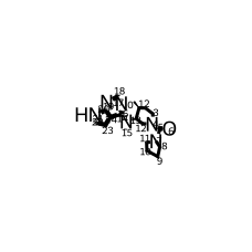 C[C@H]1CCN(C(=O)N2CCCC2)C[C@H]1N(C)c1ncnc2[nH]ccc12